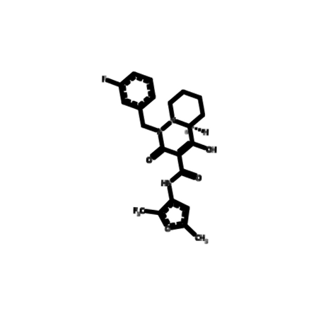 Cc1cc(NC(=O)C2=C(O)[C@@H]3CCCCN3N(Cc3cccc(F)c3)C2=O)c(C(F)(F)F)o1